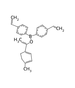 C=Cc1ccc(B(O/C(=C\C)C2=CC=C(C)CC2)c2ccc(C=C)cc2)cc1